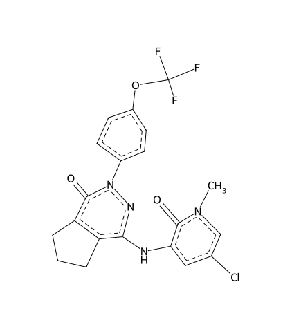 Cn1cc(Cl)cc(Nc2nn(-c3ccc(OC(F)(F)F)cc3)c(=O)c3c2CCC3)c1=O